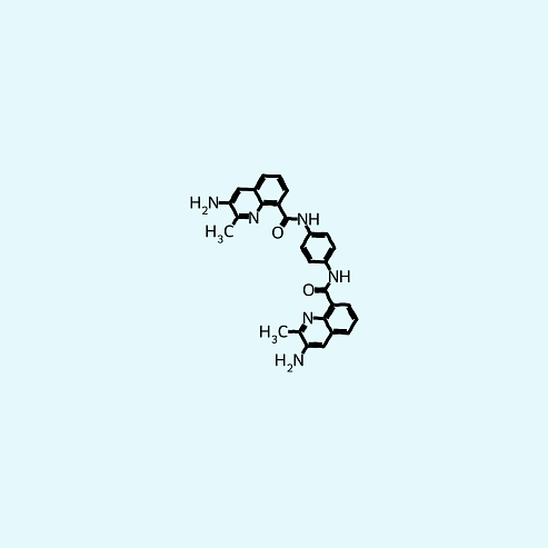 Cc1nc2c(C(=O)Nc3ccc(NC(=O)c4cccc5cc(N)c(C)nc45)cc3)cccc2cc1N